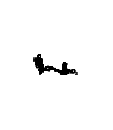 O=C1CCC(N2Cc3c(cc(F)cc3C3CCN(CCCCCCCOc4ccc([N+](=O)[O-])cc4OC4CCCC4)CC3)C2=O)C(=O)N1